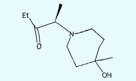 CCC(=O)[C@@H](C)N1CCC(C)(O)CC1